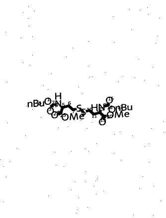 CCCCOC(=O)NC(CCSSCCC(NC(=O)OCCCC)C(=O)OC)C(=O)OC